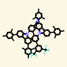 Cc1cc(C)c(-c2ccc3c(c2)c2cc(-c4c(C)cc(C)cc4C)ccc2n3-c2ccc(C#N)cc2-c2ccc(-c3cc(C(F)(F)F)cc(C(F)(F)F)c3)cc2-n2c3ccc(-c4c(C)cc(C)cc4C)cc3c3cc(-c4c(C)cc(C)cc4C)ccc32)c(C)c1